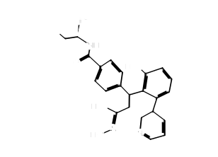 C/C(CC(c1ccc(C(=O)N[C@@H](CO)C(C)C)cc1)c1c(C)cccc1C1C=CC=NC1)=N\O